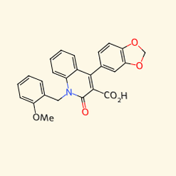 COc1ccccc1Cn1c(=O)c(C(=O)O)c(-c2ccc3c(c2)OCO3)c2ccccc21